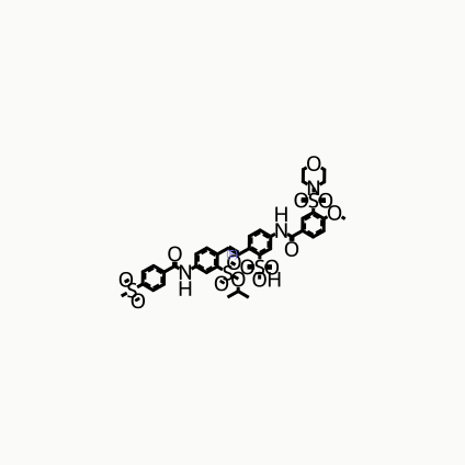 COc1ccc(C(=O)Nc2ccc(/C=C/c3ccc(NC(=O)c4ccc(S(C)(=O)=O)cc4)cc3S(=O)(=O)OC(C)C)c(S(=O)(=O)O)c2)cc1S(=O)(=O)N1CCOCC1